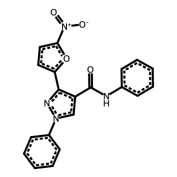 O=C(Nc1ccccc1)c1cn(-c2ccccc2)nc1-c1ccc([N+](=O)[O-])o1